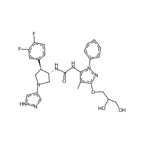 Cc1c(OCC(O)CO)nn(-c2ccccc2)c1NC(=O)N[C@@H]1CN(c2cn[nH]c2)C[C@H]1c1ccc(F)c(F)c1